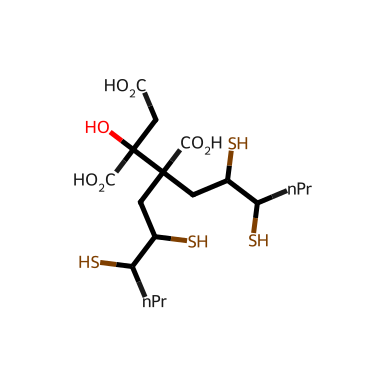 CCCC(S)C(S)CC(CC(S)C(S)CCC)(C(=O)O)C(O)(CC(=O)O)C(=O)O